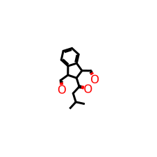 CC(C)CC(=O)C1C(C=O)c2ccccc2C1C=O